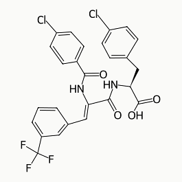 O=C(N[C@@H](Cc1ccc(Cl)cc1)C(=O)O)C(=Cc1cccc(C(F)(F)F)c1)NC(=O)c1ccc(Cl)cc1